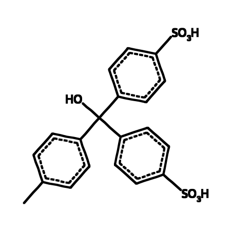 Cc1ccc(C(O)(c2ccc(S(=O)(=O)O)cc2)c2ccc(S(=O)(=O)O)cc2)cc1